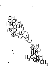 COC(=O)N[C@H](C(=O)N1CCCC1C1NC=C(c2ccc3c(c2)cc2n3CCCOc3cc(-c4cnc([C@@H]5CCCN5C(=O)[C@@H](NC(=O)OC)C(C)C)[nH]4)ccc3-2)N1)C(C)C